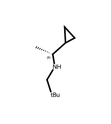 C[C@@H](NCC(C)(C)C)C1CC1